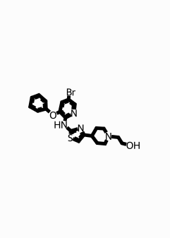 OCCN1CCC(c2csc(Nc3ncc(Br)cc3Oc3ccccc3)n2)CC1